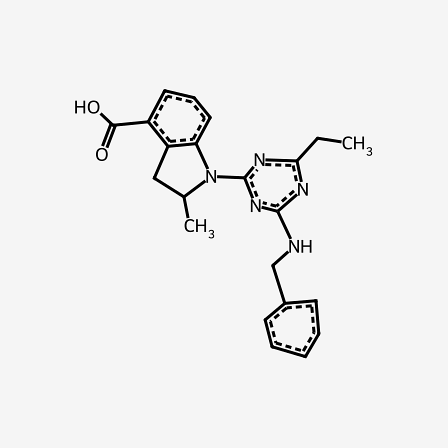 CCc1nc(NCc2ccccc2)nc(N2c3cccc(C(=O)O)c3CC2C)n1